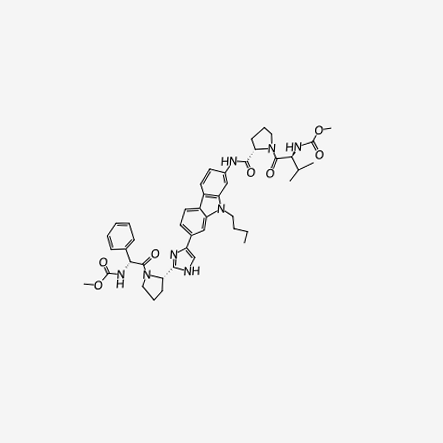 CCCCn1c2cc(NC(=O)[C@@H]3CCCN3C(=O)[C@@H](NC(=O)OC)C(C)C)ccc2c2ccc(-c3c[nH]c([C@@H]4CCCN4C(=O)[C@H](NC(=O)OC)c4ccccc4)n3)cc21